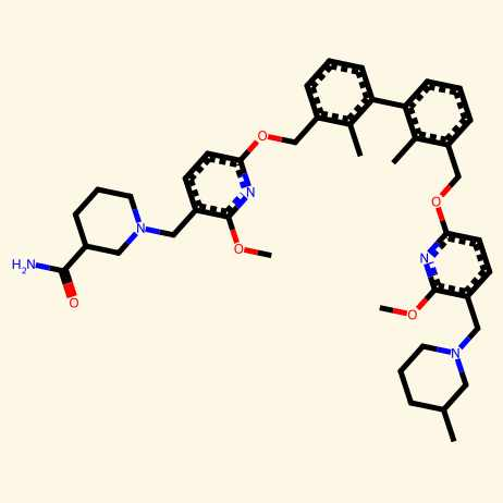 COc1nc(OCc2cccc(-c3cccc(COc4ccc(CN5CCCC(C(N)=O)C5)c(OC)n4)c3C)c2C)ccc1CN1CCCC(C)C1